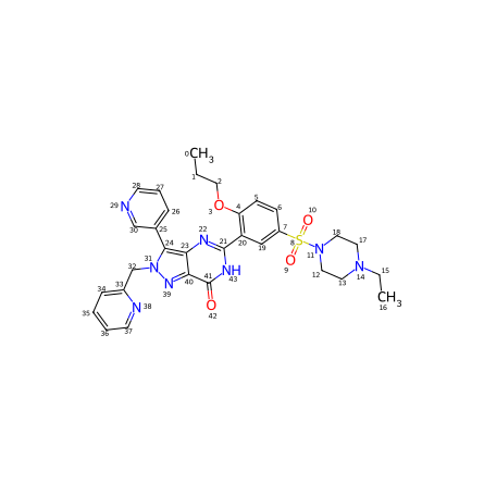 CCCOc1ccc(S(=O)(=O)N2CCN(CC)CC2)cc1-c1nc2c(-c3cccnc3)n(Cc3ccccn3)nc2c(=O)[nH]1